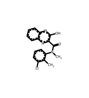 Cc1c(Cl)cccc1N(C)C(=O)c1nc2ccccc2nc1O